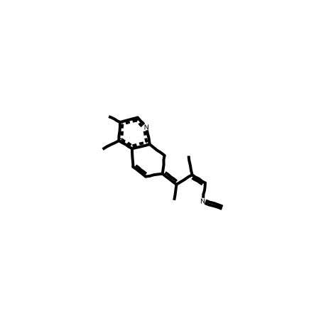 C=N/C=C(C)\C(C)=C1\C=Cc2c(ncc(C)c2C)C1